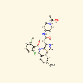 COc1ccc(CN(C(=O)c2c(F)cccc2F)c2scnc2CC(=O)NC2CCN(B(C)O)CC2)cc1